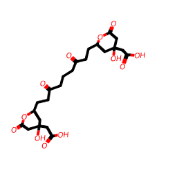 O=C(O)CC1(O)CC(=O)OC(CCC(=O)CCCC(=O)CCC2CC(O)(CC(=O)O)CC(=O)O2)C1